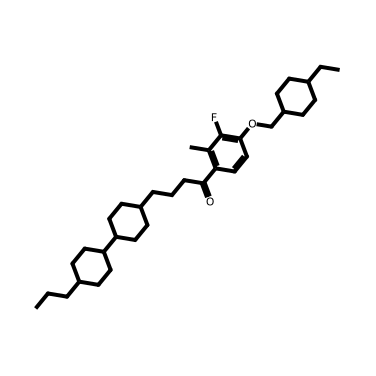 CCCC1CCC(C2CCC(CCCC(=O)c3ccc(OCC4CCC(CC)CC4)c(F)c3C)CC2)CC1